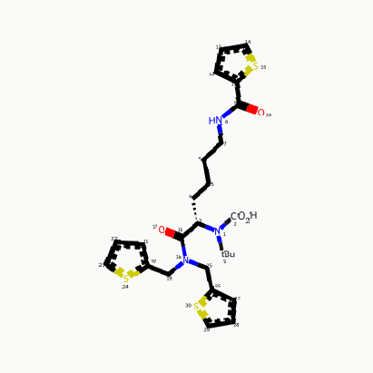 CC(C)(C)N(C(=O)O)[C@@H](CCCCNC(=O)c1cccs1)C(=O)N(Cc1cccs1)Cc1cccs1